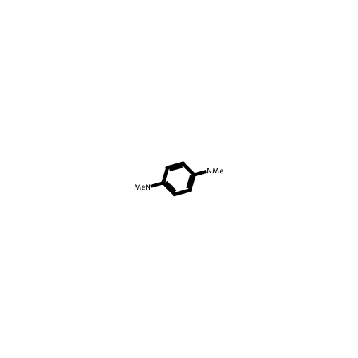 CNc1[c]cc(NC)cc1